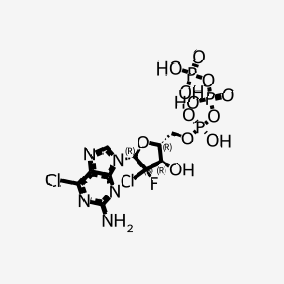 Nc1nc(Cl)c2ncn([C@@H]3O[C@H](COP(=O)(O)OP(=O)(O)OP(=O)(O)O)[C@@H](O)[C@]3(F)Cl)c2n1